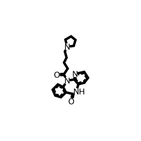 O=C1Nc2cccnc2N(C(=O)CCCCN2CCCC2)c2ccccc21